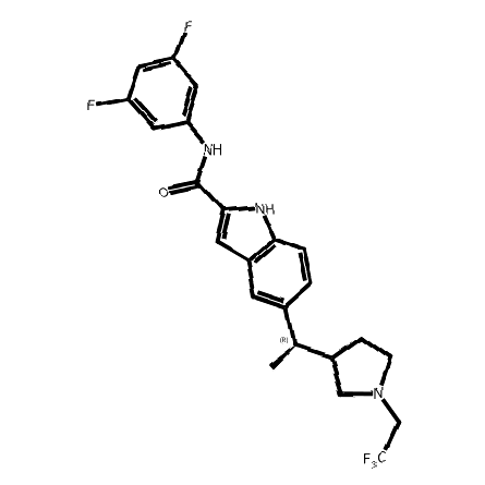 C[C@@H](c1ccc2[nH]c(C(=O)Nc3cc(F)cc(F)c3)cc2c1)C1CCN(CC(F)(F)F)C1